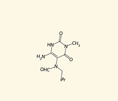 CC(C)CN(C=O)c1c(N)[nH]c(=O)n(C)c1=O